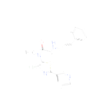 CN(C(=O)CNS/C=C/c1ccccc1)c1sc(-c2cccnc2)nc1Cl